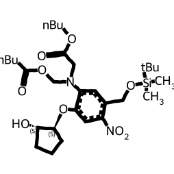 CCCCOC(=O)CN(COC(=O)CCCC)c1cc(CO[Si](C)(C)C(C)(C)C)c([N+](=O)[O-])cc1O[C@H]1CCC[C@@H]1O